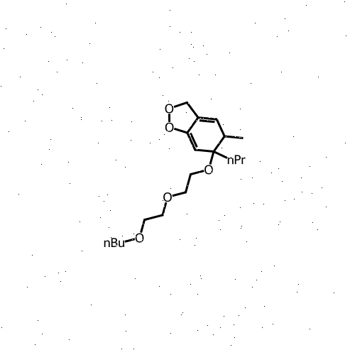 CCCCOCCOCCOC1(CCC)C=C2OOCC2=CC1C